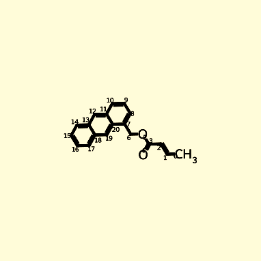 CC=CC(=O)OCc1cccc2cc3ccccc3cc12